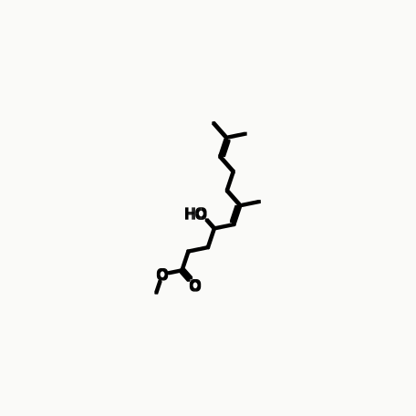 COC(=O)CCC(O)C=C(C)CCC=C(C)C